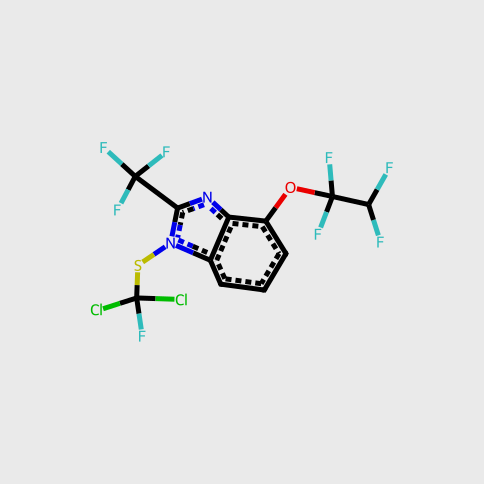 FC(F)C(F)(F)Oc1cccc2c1nc(C(F)(F)F)n2SC(F)(Cl)Cl